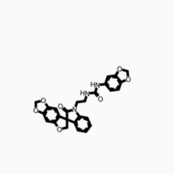 O=C(NCCN1C(=O)C2(COc3cc4c(cc32)OCO4)c2ccccc21)Nc1ccc2c(c1)OCO2